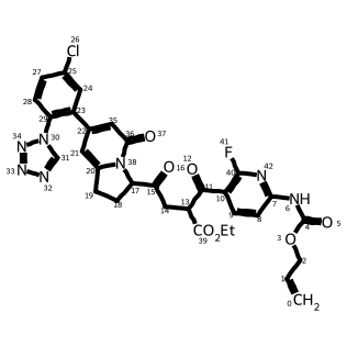 C=CCOC(=O)Nc1ccc(C(=O)C(CC(=O)C2CCc3cc(-c4cc(Cl)ccc4-n4cnnn4)cc(=O)n32)C(=O)OCC)c(F)n1